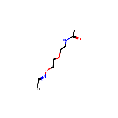 CCC(=O)NCCOCCO/N=C/C(C)C